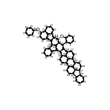 Cc1ccccc1-c1c2cc3c4cccc5c(Oc6ccccc6)ccc(c54)c3c3c4ccccc4c(c4c5ccc6c7ccc8c9c(ccc(c%10ccc(c14)c5c%106)c97)-c1ccccc1-8)c23